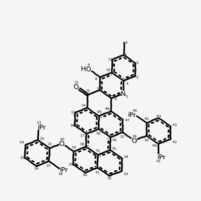 Cc1ccc2nc3c(c(O)c2c1)C(=O)c1ccc2c4c(Oc5c(C(C)C)cccc5C(C)C)ccc5cccc(c6c(Oc7c(C(C)C)cccc7C(C)C)cc-3c1c26)c54